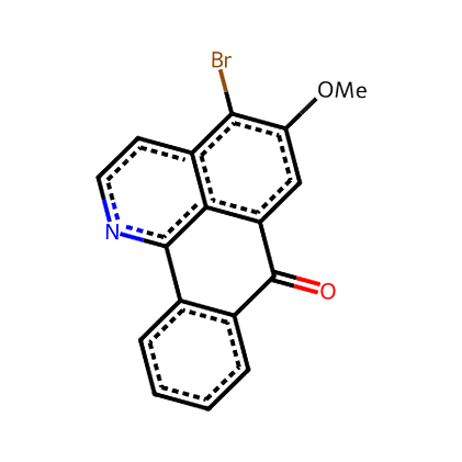 COc1cc2c3c(nccc3c1Br)-c1ccccc1C2=O